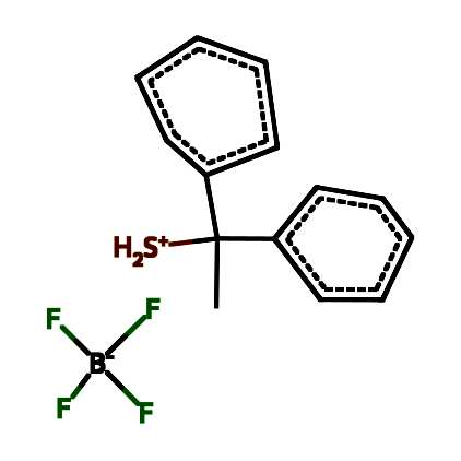 CC([SH2+])(c1ccccc1)c1ccccc1.F[B-](F)(F)F